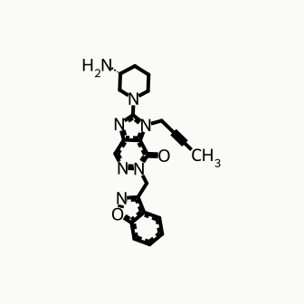 CC#CCn1c(N2CCC[C@@H](N)C2)nc2cnn(Cc3noc4ccccc34)c(=O)c21